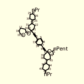 CCCCCC(C)OC1(C#Cc2ccc(C#CC3(OC4CCCCO4)CCC(C4CCC(CCC)CC4)CC3)cc2)CCC(C2CCC(CCC)CC2)CC1